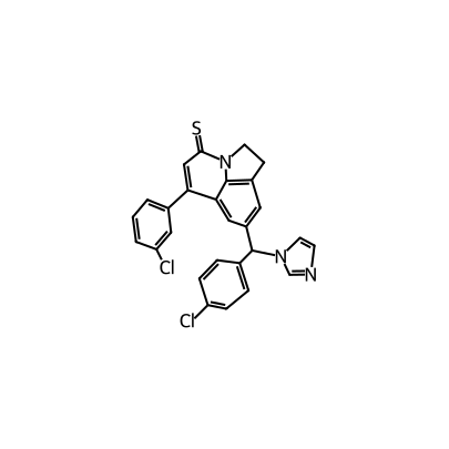 S=c1cc(-c2cccc(Cl)c2)c2cc(C(c3ccc(Cl)cc3)n3ccnc3)cc3c2n1CC3